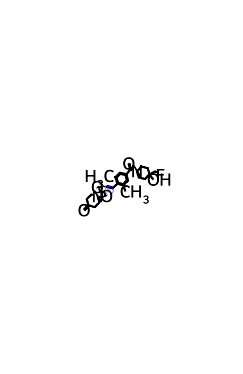 Cc1cc(C(=O)N2CCC(O)(CF)CC2)cc(C)c1/C=C/S(=O)(=O)N1CCC(=O)CC1